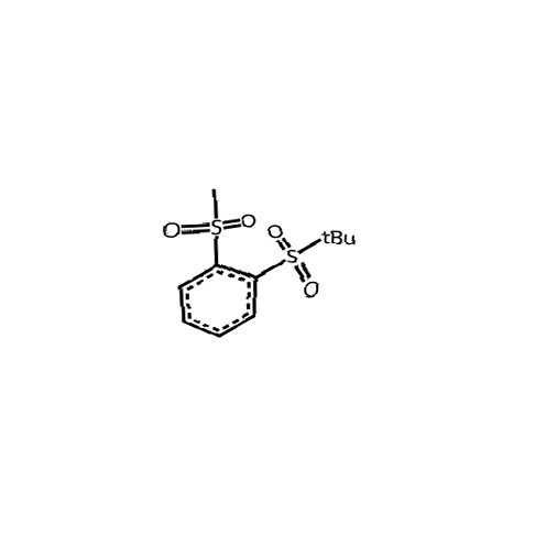 CC(C)(C)S(=O)(=O)c1ccccc1S(C)(=O)=O